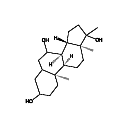 CC1(O)CC[C@H]2[C@@H]3C(O)CC4CC(O)CC[C@]4(C)[C@@H]3CC[C@@]21C